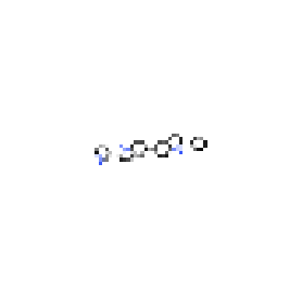 c1ccc(-c2ccc3cc(-c4ccc5nc(-c6cccnc6)ccc5c4)ccc3n2)cc1